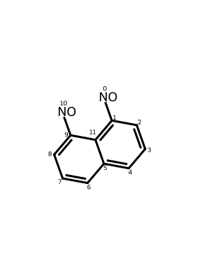 O=Nc1cccc2cccc(N=O)c12